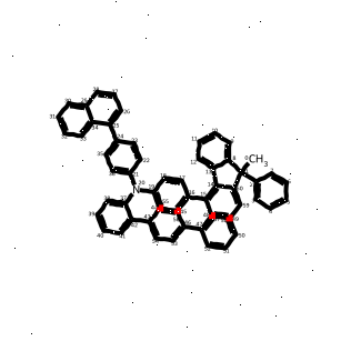 CC1(c2ccccc2)c2ccccc2-c2c(-c3ccc(N(c4ccc(-c5cccc6ccccc56)cc4)c4ccccc4-c4ccc(-c5ccccc5)cc4)cc3)cccc21